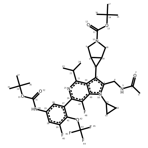 CC(=O)NCc1c(C2C3CN(C(=O)OC(C)(C)C)CC32)c2c(C(C)C)nc(-c3cc(NC(=O)OC(C)(C)C)cc(F)c3OC(F)(F)F)c(F)c2n1C1CC1